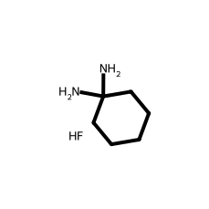 F.NC1(N)CCCCC1